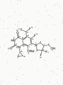 COc1c(N2CC(CO)C(F)(F)C2)c(F)c(C(F)F)c2c(=O)[nH]c(=O)n(C3CC3)c12